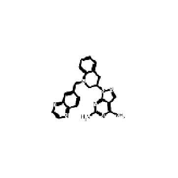 Nc1nc(N)c2cnn(C3Cc4ccccc4N(Cc4ccc5nccnc5c4)C3)c2n1